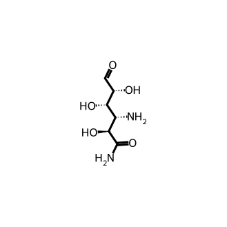 NC(=O)[C@@H](O)[C@@H](N)[C@H](O)[C@@H](O)C=O